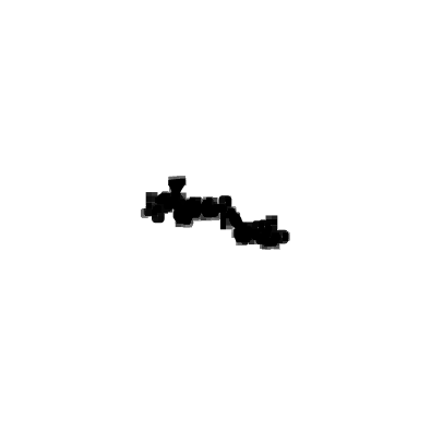 CNC(=O)N1CCn2c(C3CC3)nc(-c3cccc4cc(-c5ccc(C(=O)NCC#Cc6cccc(C(=O)NC7CCC(=O)NC7=O)n6)nc5)ncc34)c2C1